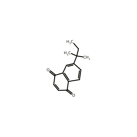 CCC(C)(C)c1ccc2c(c1)C(=O)C=CC2=O